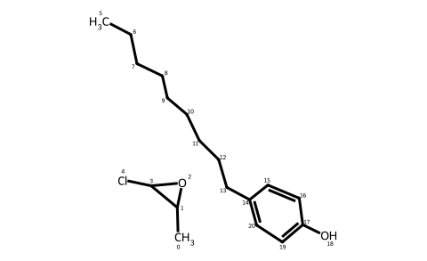 CC1OC1Cl.CCCCCCCCCc1ccc(O)cc1